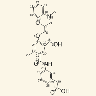 Cc1cc(OC[C@@H]2CN(C)c3ccccc3O2)c(CO)cc1C(=O)Nc1cccc(CC(=O)O)c1